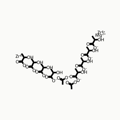 CC(=O)[O-].CC(=O)[O-].CC(O)C(=O)[O-].CC(O)C(=O)[O-].CC(O)C(=O)[O-].CC(O)C(=O)[O-].CC(O)C(=O)[O-].CC(O)C(=O)[O-].CC(O)C(=O)[O-].CC(O)C(=O)[O-].[Mg+2].[Zr+4].[Zr+4]